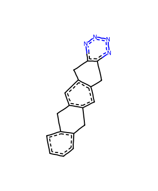 c1ccc2c(c1)Cc1cc3c(cc1C2)Cc1nnnnc1C3